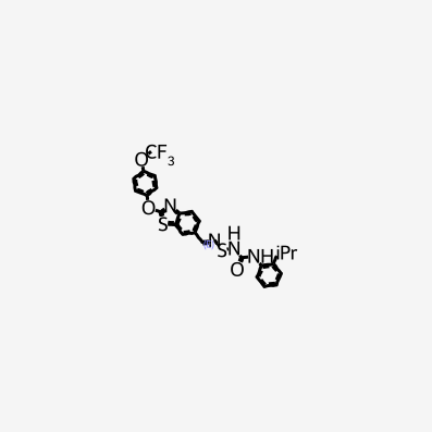 CC(C)c1ccccc1NC(=O)NS/N=C/c1ccc2nc(Oc3ccc(OC(F)(F)F)cc3)sc2c1